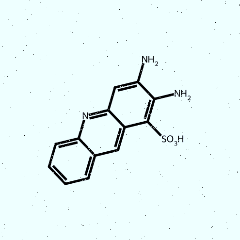 Nc1cc2nc3ccccc3cc2c(S(=O)(=O)O)c1N